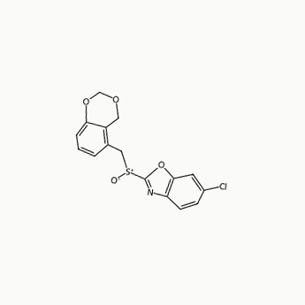 [O-][S+](Cc1cccc2c1COCO2)c1nc2ccc(Cl)cc2o1